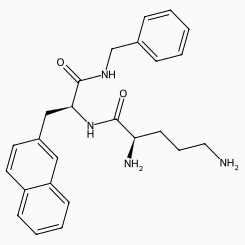 NCCC[C@@H](N)C(=O)N[C@@H](Cc1ccc2ccccc2c1)C(=O)NCc1ccccc1